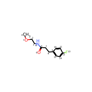 COCCNC(=O)CCc1ccc(F)cc1